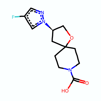 O=C(O)N1CCC2(CC1)C[C@@H](n1cc(F)cn1)CO2